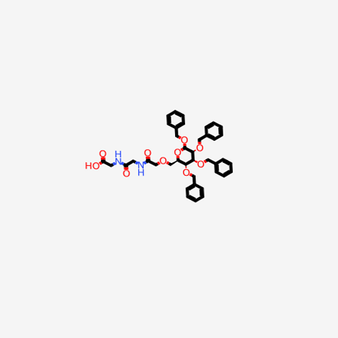 O=C(O)CNC(=O)CNC(=O)COC[C@H]1OC(OCc2ccccc2)[C@H](OCc2ccccc2)[C@@H](OCc2ccccc2)[C@@H]1OCc1ccccc1